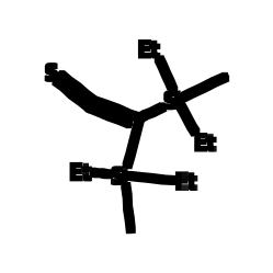 CC[Si](C)(CC)C(=C=S)[Si](C)(CC)CC